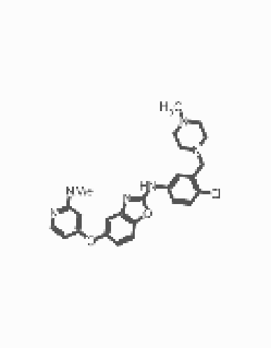 CNc1cc(Oc2ccc3oc(Nc4ccc(Cl)c(CN5CCN(C)CC5)c4)nc3c2)ccn1